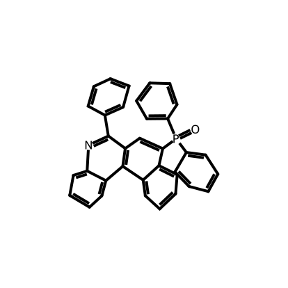 O=P(c1ccccc1)(c1ccccc1)c1cc2c(-c3ccccc3)nc3ccccc3c2c2ccccc12